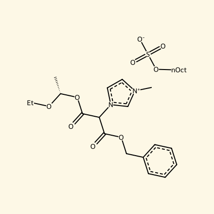 CCCCCCCCOS(=O)(=O)[O-].CCO[C@H](C)OC(=O)C(C(=O)OCc1ccccc1)n1cc[n+](C)c1